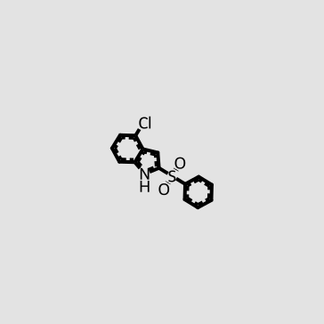 O=S(=O)(c1ccccc1)c1cc2c(Cl)cccc2[nH]1